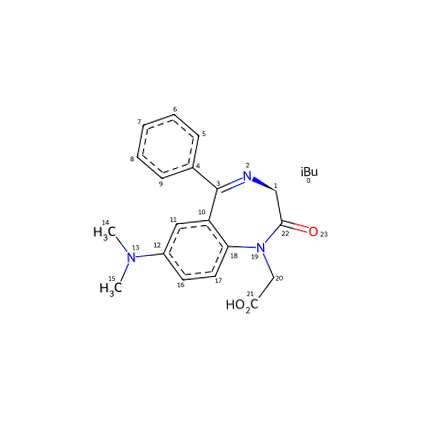 CC[C@H](C)[C@@H]1N=C(c2ccccc2)c2cc(N(C)C)ccc2N(CC(=O)O)C1=O